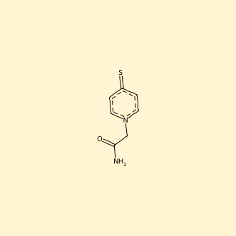 NC(=O)Cn1ccc(=S)cc1